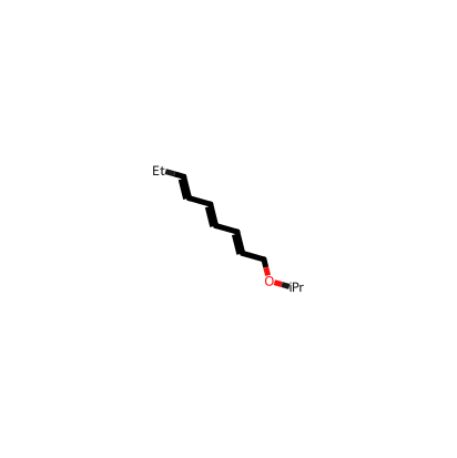 CC/C=C/C=C/C=C/COC(C)C